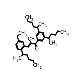 CCCCC(C)c1cc(C(=O)C(O)=Cc2cc(CC)ccc2C(C)CCCC)cc(C(C)CCCC)c1